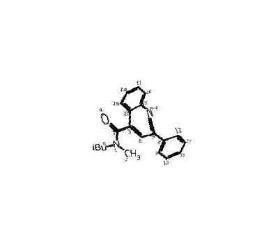 CCC(C)N(C)C(=O)c1cc(-c2ccccc2)nc2ccccc12